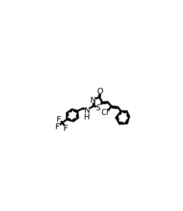 O=C1N=C(NCc2ccc(C(F)(F)F)cc2)SC1=CC(Cl)=Cc1ccccc1